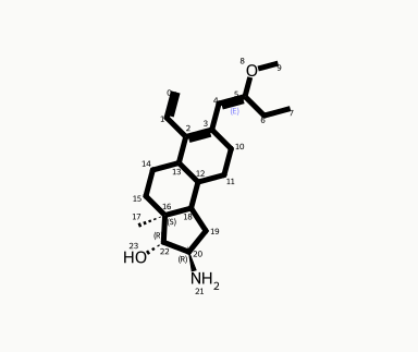 C=CC1=C(/C=C(\CC)OC)CCC2C1CC[C@@]1(C)C2C[C@@H](N)[C@@H]1O